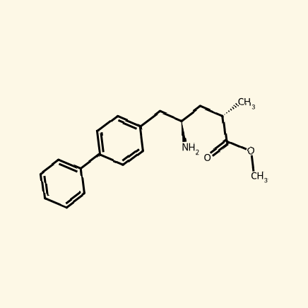 COC(=O)[C@@H](C)C[C@@H](N)Cc1ccc(-c2ccccc2)cc1